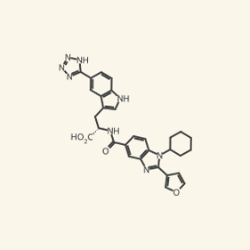 O=C(N[C@@H](Cc1c[nH]c2ccc(-c3nnn[nH]3)cc12)C(=O)O)c1ccc2c(c1)nc(-c1ccoc1)n2C1CCCCC1